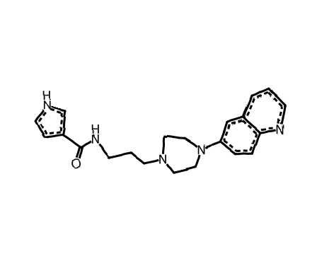 O=C(NCCCN1CCN(c2ccc3ncccc3c2)CC1)c1cc[nH]c1